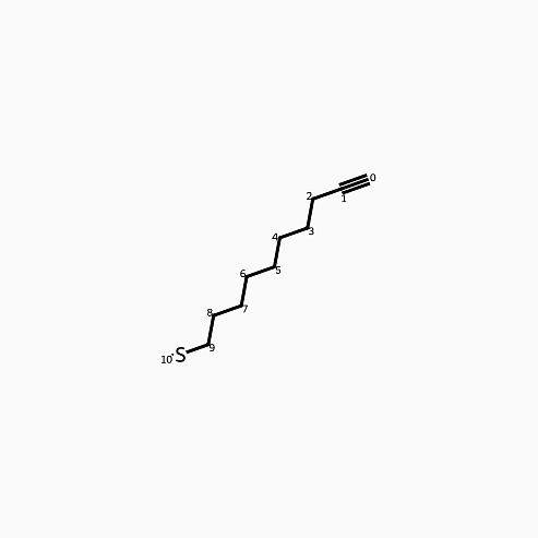 C#CCCCCCCCC[S]